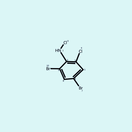 ClNc1c(Cl)cc(Br)cc1Br